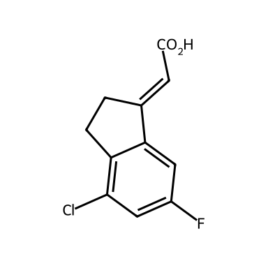 O=C(O)C=C1CCc2c(Cl)cc(F)cc21